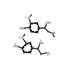 CNCC(O)c1ccc(O)c(OC)c1.COc1cc(C(O)CN)ccc1O